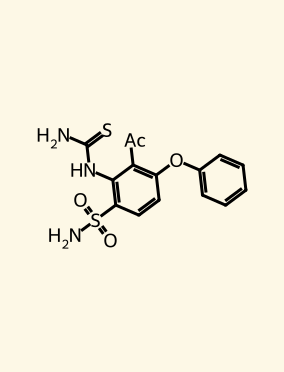 CC(=O)c1c(Oc2ccccc2)ccc(S(N)(=O)=O)c1NC(N)=S